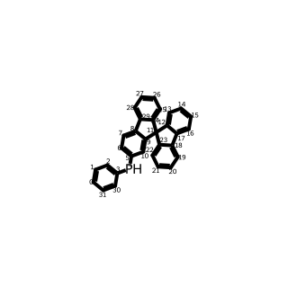 c1ccc(Pc2ccc3c(c2)C2(c4ccccc4-c4ccccc42)c2ccccc2-3)cc1